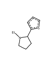 CCN1CCCC1c1cccs1